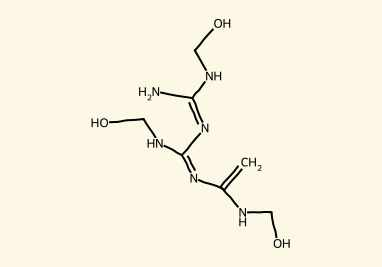 C=C(/N=C(\N=C(/N)NCO)NCO)NCO